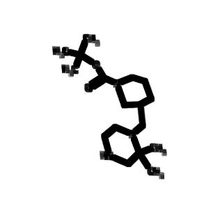 CC(C)(C)OC(=O)N1CCCC(CN2CCNCC2(C)C)C1